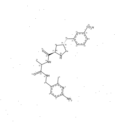 Cc1nc(N)ccc1CNC(=O)C(C)NC(=O)[C@H]1C[C@H](Cc2cccc(C(=O)O)c2)CN1